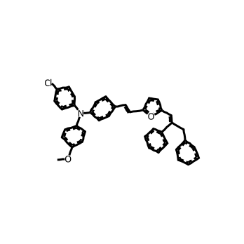 COc1ccc(N(c2ccc(Cl)cc2)c2ccc(C=Cc3ccc(C=C(Cc4ccccc4)c4ccccc4)o3)cc2)cc1